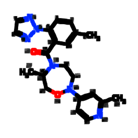 Cc1ccc(-n2nccn2)c(C(=O)N2CCN(c3ccnc(C)c3)OC[C@H]2C)c1